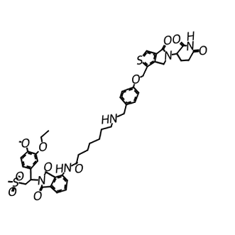 CCOc1cc(C(CS(C)(=O)=O)N2C(=O)c3cccc(NC(=O)CCCCCCNCc4ccc(OCc5scc6c5CN(C5CCC(=O)NC5=O)C6=O)cc4)c3C2=O)ccc1OC